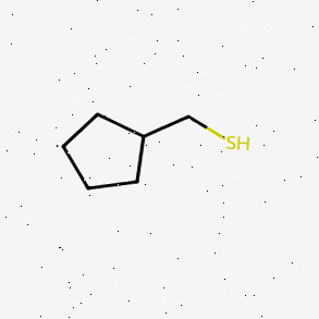 SCC1C[CH]CC1